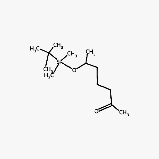 CC(=O)CCCC(C)O[Si](C)(C)C(C)(C)C